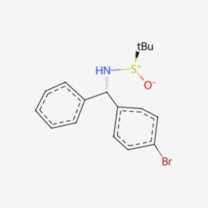 CC(C)(C)[S@@+]([O-])N[C@@H](c1ccccc1)c1ccc(Br)cc1